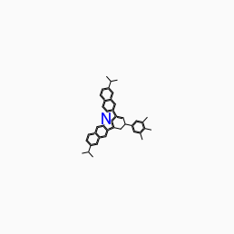 Cc1cc(C2C=c3c4cc5cc(C(C)C)ccc5cc4n4c3c(c3cc5cc(C(C)C)ccc5cc34)C2)cc(C)c1C